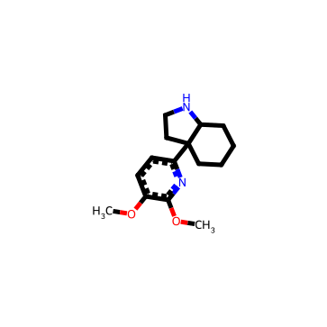 COc1ccc(C23CCCCC2NCC3)nc1OC